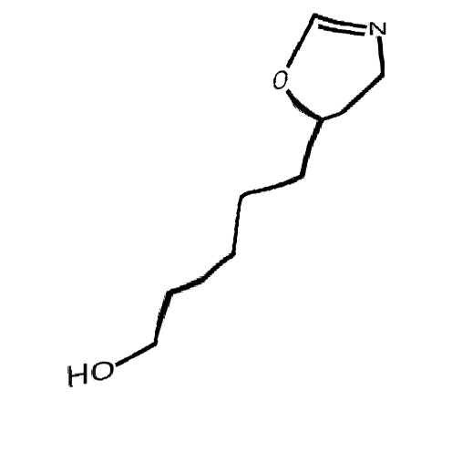 OCCCCCC1CN=CO1